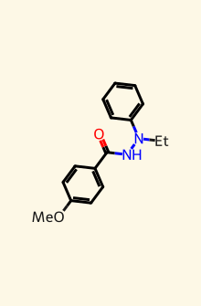 CCN(NC(=O)c1ccc(OC)cc1)c1ccccc1